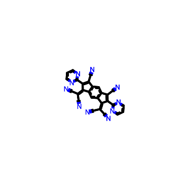 N#CC(C#N)=C1C(c2ncccn2)=C(C#N)c2cc3c(cc21)C(=C(C#N)C#N)C(c1ncccn1)=C3C#N